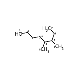 CCC(C)C(C)SCCO